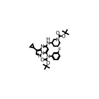 CC(C)(C)OC(=O)N1CCCC(Nc2cc(N(C(=O)OC(C)(C)C)c3cccc(F)c3)n3ncc(C4CC4)c3n2)C1